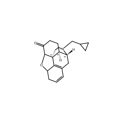 O=C1CC[C@H]2[C@H]3CC4=C5C(CC=C4)OC1[C@]52CCN3CC1CC1